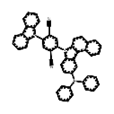 N#Cc1cc(-n2c3ccc(N(c4ccccc4)c4ccccc4)cc3c3c4ccccc4ccc32)c(C#N)cc1-n1c2ccccc2c2ccccc21